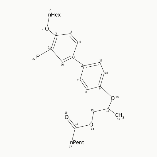 CCCCCCOc1ccc(-c2ccc(OC(C)COC(=O)CCCCC)cc2)cc1F